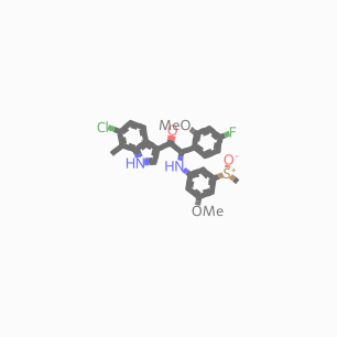 COc1cc(NC(C(=O)c2c[nH]c3c(C)c(Cl)ccc23)c2ccc(F)cc2OC)cc([S+](C)[O-])c1